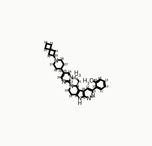 CC[C@H]1c2c([nH]c3nnc(-c4ccccc4C)cc23)CCN1c1ncc(C2CCN(C3CC4(CCC4)C3)CC2)cn1